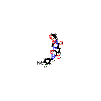 CS(=O)(=O)C1(CN2CCn3c(ccc(C(=O)NCc4ccc(C#N)c(F)c4)c3=O)C2=O)CC1